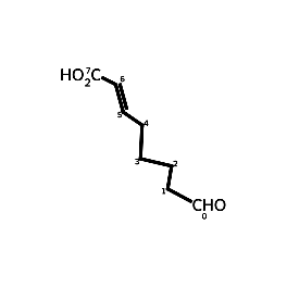 O=CCCCCC=CC(=O)O